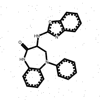 O=C1Nc2ccccc2N(c2ccccc2)CC1Nc1nc2ccccc2o1